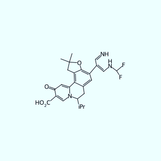 CC(C)C1Cc2cc(/C(C=N)=C/NC(F)F)c3c(c2-c2cc(=O)c(C(=O)O)cn21)CC(C)(C)O3